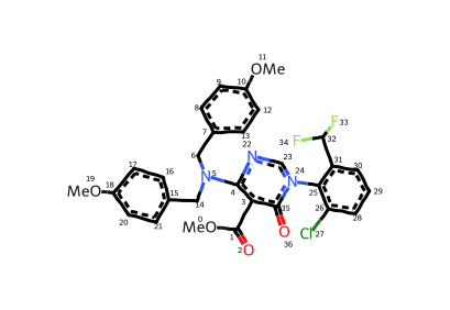 COC(=O)c1c(N(Cc2ccc(OC)cc2)Cc2ccc(OC)cc2)ncn(-c2c(Cl)cccc2C(F)F)c1=O